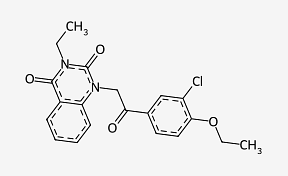 CCOc1ccc(C(=O)Cn2c(=O)n(CC)c(=O)c3ccccc32)cc1Cl